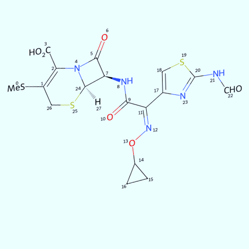 CSC1=C(C(=O)O)N2C(=O)[C@@H](NC(=O)/C(=N\OC3CC3)c3csc(NC=O)n3)[C@H]2SC1